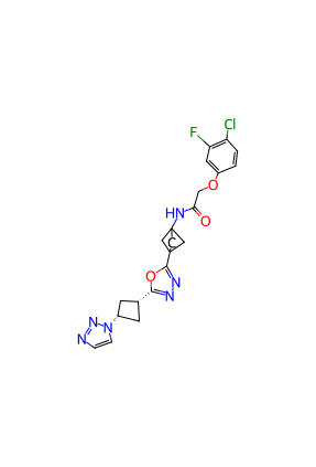 O=C(COc1ccc(Cl)c(F)c1)NC12CC(c3nnc([C@H]4C[C@@H](n5ccnn5)C4)o3)(C1)C2